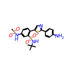 CC(C)(C)NS(=O)(=O)c1cc(NS(C)(=O)=O)ccc1-c1cnc(-c2ccc(N)cc2)s1